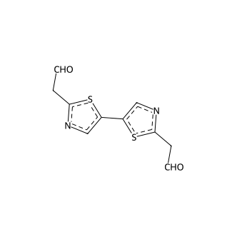 O=CCc1ncc(-c2cnc(CC=O)s2)s1